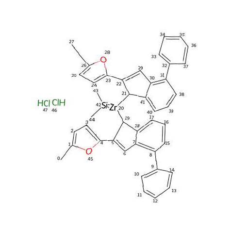 Cc1ccc(C2=Cc3c(-c4ccccc4)cccc3[CH]2[Zr]([CH]2C(c3ccc(C)o3)=Cc3c(-c4ccccc4)cccc32)=[Si](C)C)o1.Cl.Cl